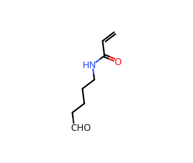 C=CC(=O)NCCCCC=O